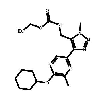 CCC(C)COC(=O)NCc1c(-c2cnc(OC3CCCCC3)c(C)n2)nnn1C